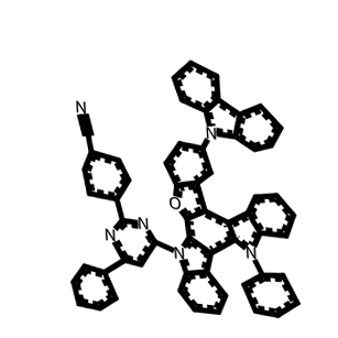 N#Cc1ccc(-c2nc(-c3ccccc3)cc(-n3c4ccccc4c4c3c3oc5ccc(-n6c7ccccc7c7ccccc76)cc5c3c3c5ccccc5n(-c5ccccc5)c34)n2)cc1